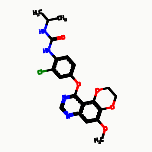 COc1cc2ncnc(Oc3ccc(NC(=O)NC(C)C)c(Cl)c3)c2c2c1OCCO2